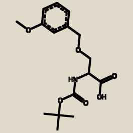 COc1cccc(COCC(NC(=O)OC(C)(C)C)C(=O)O)c1